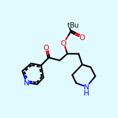 CC(C)(C)C(=O)OC(CC(=O)c1ccncc1)CC1CCNCC1